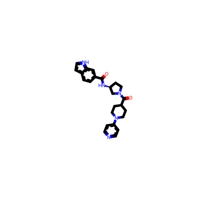 O=C(N[C@H]1CCN(C(=O)C2CCN(c3ccncc3)CC2)C1)c1ccc2cc[nH]c2c1